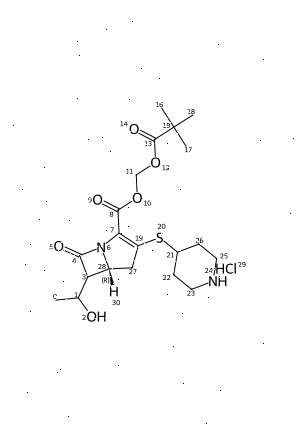 CC(O)C1C(=O)N2C(C(=O)OCOC(=O)C(C)(C)C)=C(SC3CCNCC3)C[C@H]12.Cl